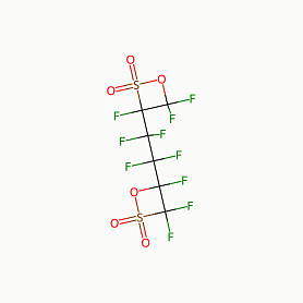 O=S1(=O)OC(F)(C(F)(F)C(F)(F)C2(F)C(F)(F)OS2(=O)=O)C1(F)F